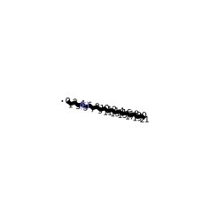 [CH2]CCC/C=C/CCCCCCCCCCCCCCCC